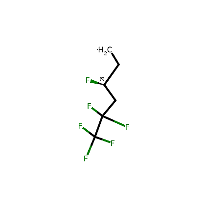 [CH2]C[C@H](F)CC(F)(F)C(F)(F)F